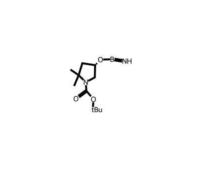 CC(C)(C)OC(=O)N1C[C@@H](OB=N)CC1(C)C